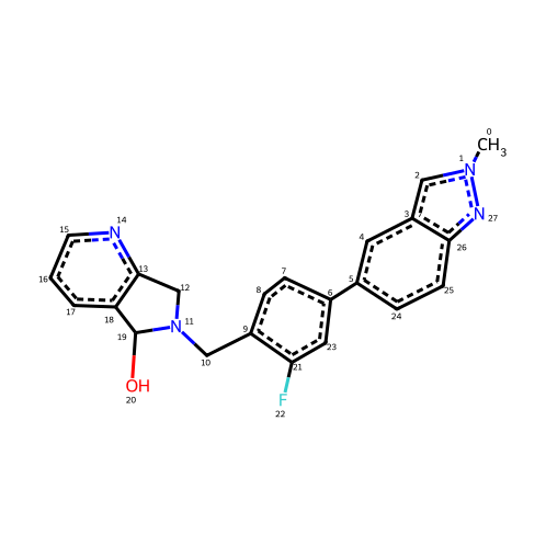 Cn1cc2cc(-c3ccc(CN4Cc5ncccc5C4O)c(F)c3)ccc2n1